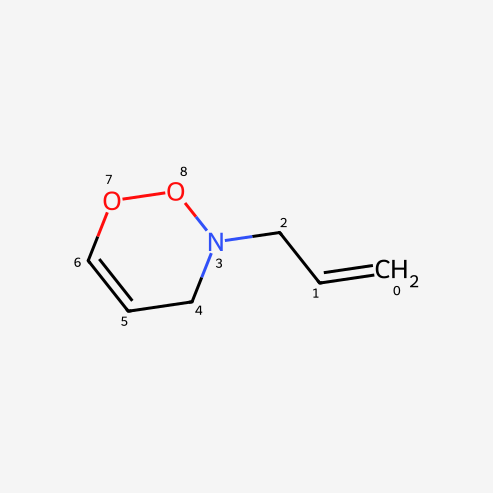 C=CCN1CC=COO1